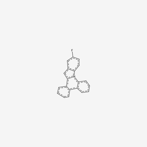 Fc1ccc2c(c1)cc1c3ccccc3c3ccccc3n21